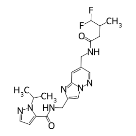 CC(CC(=O)NCc1cnn2cc(CNC(=O)c3ccnn3C(C)C)nc2c1)C(F)F